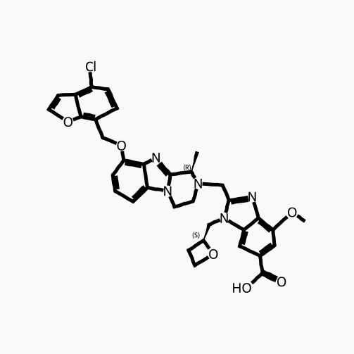 COc1cc(C(=O)O)cc2c1nc(CN1CCn3c(nc4c(OCc5ccc(Cl)c6ccoc56)cccc43)[C@H]1C)n2C[C@@H]1CCO1